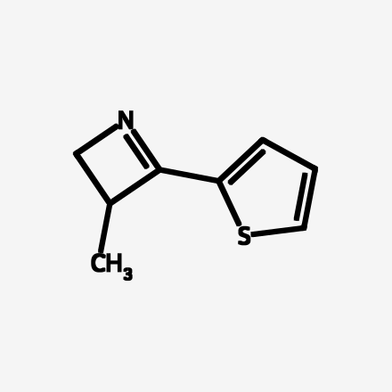 CC1CN=C1c1cccs1